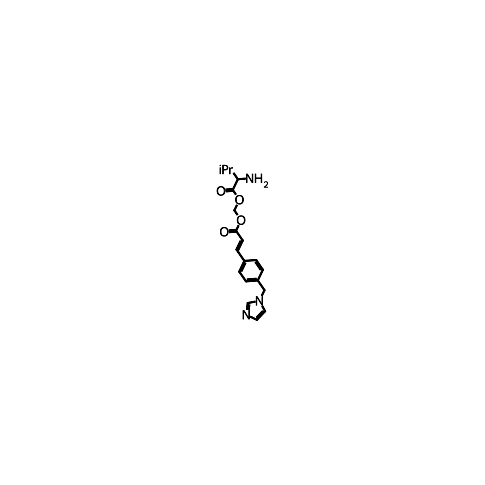 CC(C)C(N)C(=O)OCOC(=O)/C=C/c1ccc(Cn2ccnc2)cc1